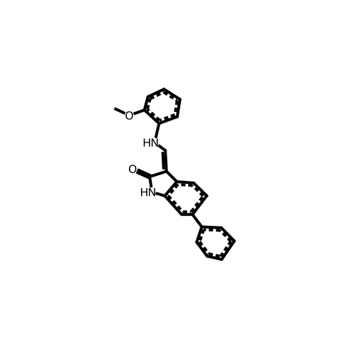 COc1ccccc1NC=C1C(=O)Nc2cc(-c3ccccc3)ccc21